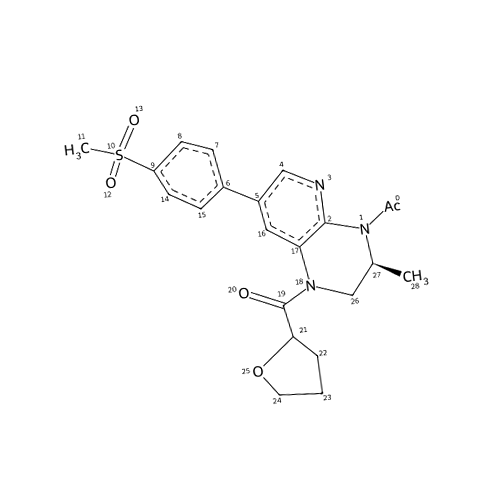 CC(=O)N1c2ncc(-c3ccc(S(C)(=O)=O)cc3)cc2N(C(=O)C2CCCO2)C[C@@H]1C